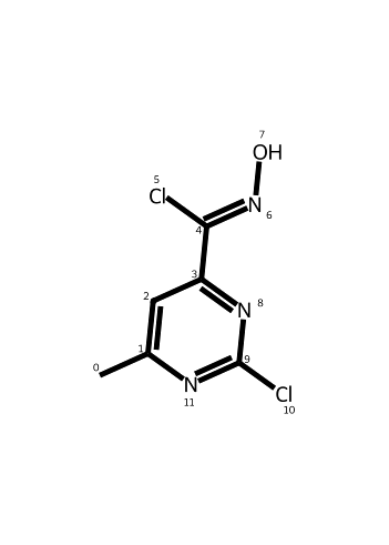 Cc1cc(/C(Cl)=N/O)nc(Cl)n1